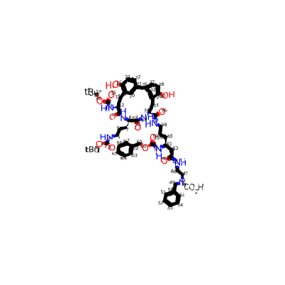 CC(C)(C)OC(=O)NCCC[C@@H]1NC(=O)[C@@H](NC(=O)OC(C)(C)C)Cc2cc(ccc2O)-c2ccc(O)c(c2)C[C@@H](C(=O)NCCC[C@@H](CC(=O)NCCN(Cc2ccccc2)C(=O)O)NC(=O)OCc2ccccc2)NC1=O